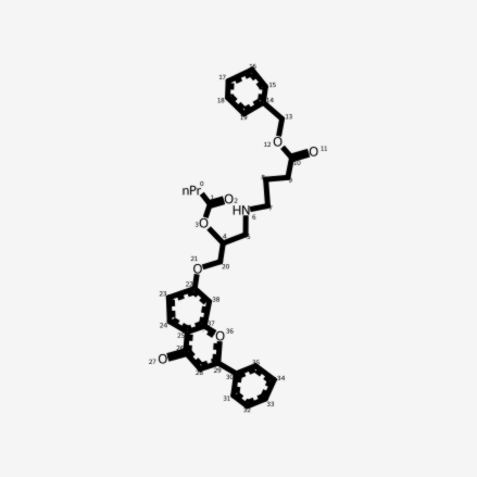 CCCC(=O)OC(CNCCCC(=O)OCc1ccccc1)COc1ccc2c(=O)cc(-c3ccccc3)oc2c1